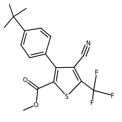 COC(=O)c1sc(C(F)(F)F)c(C#N)c1-c1ccc(C(C)(C)C)cc1